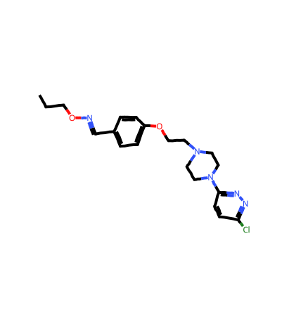 CCCON=Cc1ccc(OCCN2CCN(c3ccc(Cl)nn3)CC2)cc1